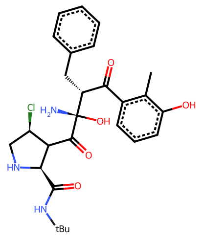 Cc1c(O)cccc1C(=O)[C@@H](Cc1ccccc1)[C@](N)(O)C(=O)C1[C@H](Cl)CN[C@@H]1C(=O)NC(C)(C)C